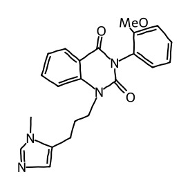 COc1ccccc1-n1c(=O)c2ccccc2n(CCCc2cncn2C)c1=O